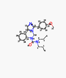 CCCN(CCC)C(=O)N1Cn2c(cnc2-c2ccc(OC)cc2)-c2ccccc21